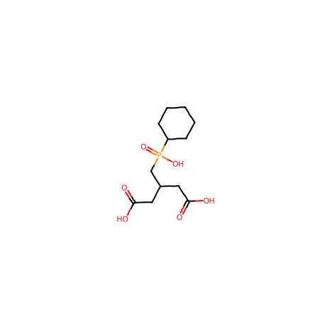 O=C(O)CC(CC(=O)O)CP(=O)(O)C1CCCCC1